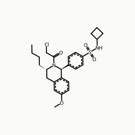 CCCC[C@H]1Cc2cc(OC)ccc2[C@H](c2ccc(S(=O)(=O)NC3CCC3)cc2)N1C(=O)CCl